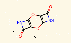 O=c1[nH]c2oc3c(=O)[nH]c3oc12